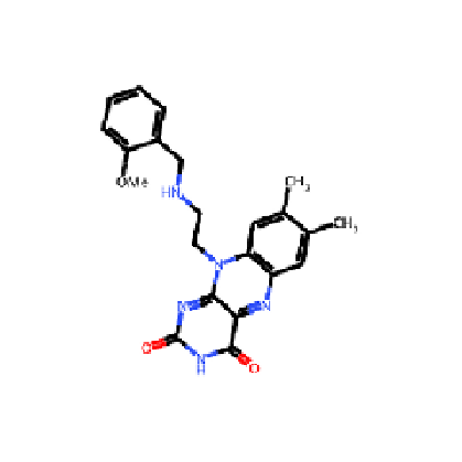 COc1ccccc1CNCCn1c2nc(=O)[nH]c(=O)c-2nc2cc(C)c(C)cc21